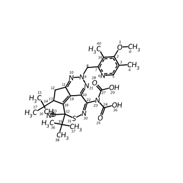 COc1c(C)cnc(CN2N=C3CC(C(C)(C)C)C4=C3C(=N2)C(N(C(=O)O)C(=O)O)=NSC4(C#N)C(C)(C)C)c1C